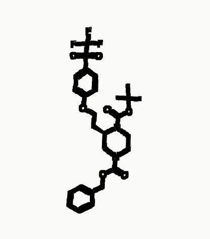 CC(C)(C)OC(=O)N1CCN(C(=O)OCc2ccccc2)C[C@H]1CCOc1ccc(S(=O)(=O)C(F)(F)F)cc1